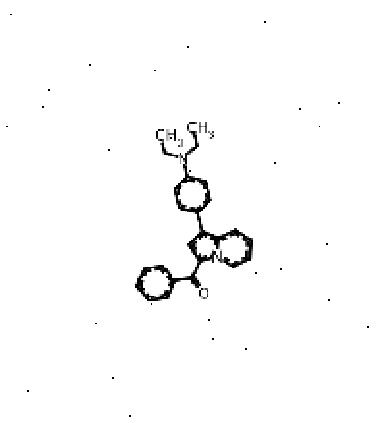 CCN(CC)c1ccc(-c2cc(C(=O)c3ccccc3)n3ccccc23)cc1